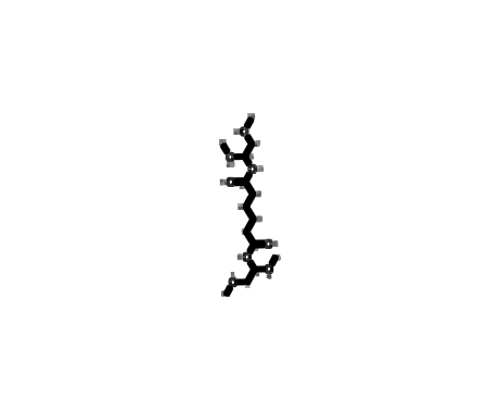 COCC(OC)OC(=O)CCCCC(=O)OC(COC)OC